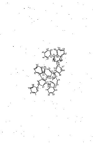 c1ccc(-c2cc(-c3ccccc3)cc(-n3c4ccccc4c4ccc5c(c6ccccc6n5-c5cccc(-c6nc(-c7ccccc7)c7ccccc7n6)c5)c43)c2)cc1